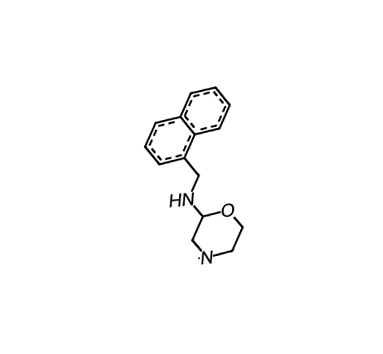 c1ccc2c(CNC3C[N]CCO3)cccc2c1